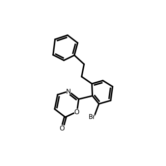 O=c1ccnc(-c2c(Br)cccc2CCc2ccccc2)o1